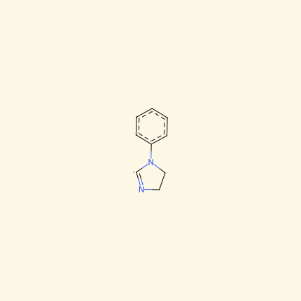 [C]1=NCCN1c1ccccc1